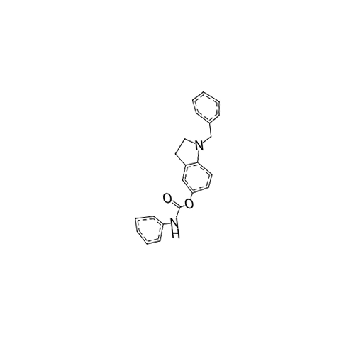 O=C(Nc1ccccc1)Oc1ccc2c(c1)CCN2Cc1ccccc1